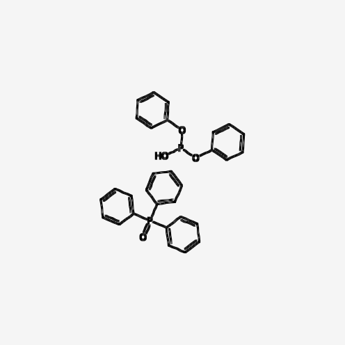 O=P(c1ccccc1)(c1ccccc1)c1ccccc1.OP(Oc1ccccc1)Oc1ccccc1